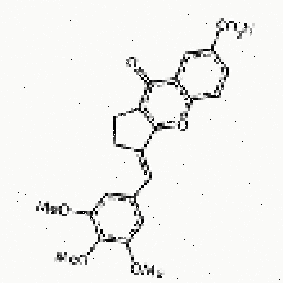 COc1cc(C=C2CCc3c2oc2ccc(C(=O)O)cc2c3=O)cc(OC)c1OC